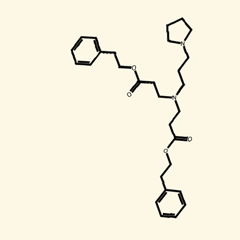 O=C(CCN(CCCN1CCCC1)CCC(=O)OCCc1ccccc1)OCCc1ccccc1